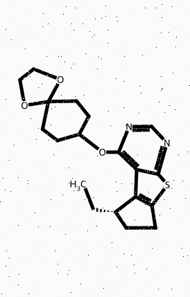 CC[C@H]1CCc2sc3ncnc(OC4CCC5(CC4)OCCO5)c3c21